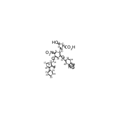 O=C(O)[C@H]1C[C@@H](O)CN1Cc1cc([N+](=O)[O-])c(OCc2cccc(-c3ccccc3)c2F)cc1OCc1ccc2nonc2c1